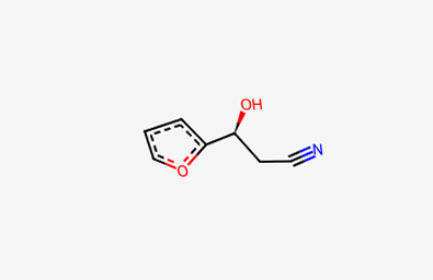 N#CC[C@H](O)c1ccco1